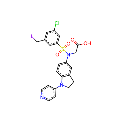 O=C(O)CN(c1ccc2c(c1)CCN2c1ccncc1)S(=O)(=O)c1cc(Cl)cc(CI)c1